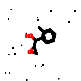 Cc1ccccc1C(O)C1CO1